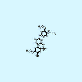 COc1cc2c(cc1Br)[NH+]([O-])CC1CN(Cc3ccc(OC)c(OC)c3)CCN21